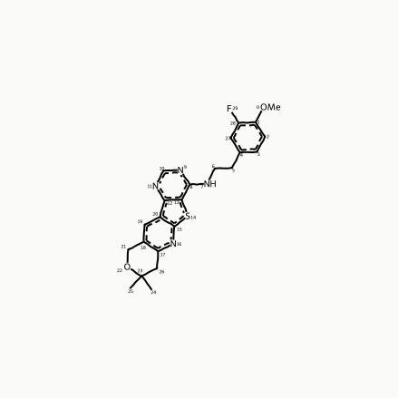 COc1ccc(CCNc2ncnc3c2sc2nc4c(cc23)COC(C)(C)C4)cc1F